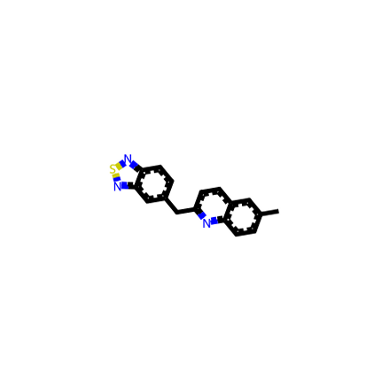 Cc1ccc2nc(Cc3ccc4nsnc4c3)ccc2c1